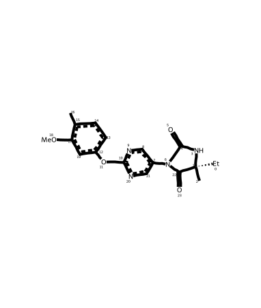 CC[C@@]1(C)NC(=O)N(c2cnc(Oc3ccc(C)c(OC)c3)nc2)C1=O